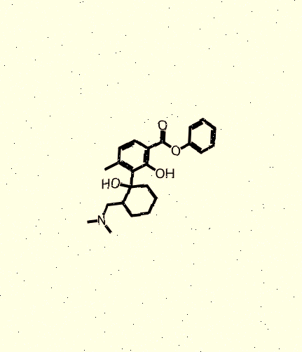 Cc1ccc(C(=O)Oc2ccccc2)c(O)c1C1(O)CCCCC1CN(C)C